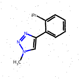 CC(C)c1ccccc1-c1cn(C)nn1